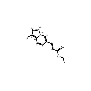 CCOC(=O)/C=C/c1ccc2c(C)nnn2c1